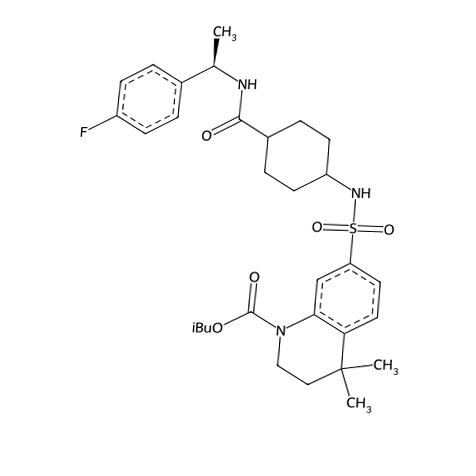 CC(C)COC(=O)N1CCC(C)(C)c2ccc(S(=O)(=O)NC3CCC(C(=O)N[C@H](C)c4ccc(F)cc4)CC3)cc21